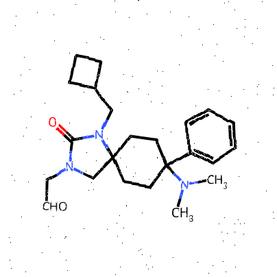 CN(C)C1(c2ccccc2)CCC2(CC1)CN(CC=O)C(=O)N2CC1CCC1